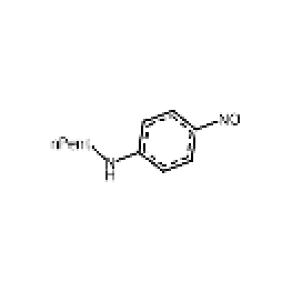 CCCCCNc1ccc(N=O)cc1